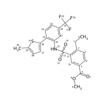 CCc1ccc(C(=O)OC)cc1S(=O)(=O)Nc1cc(C(F)(F)F)ccc1-c1ccc(C)s1